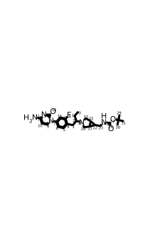 CCC(Cc1ccc(-n2ccc(N)nc2=O)cc1F)N1CC2C(CNC(=O)OC(C)(C)C)C2C1